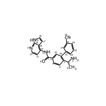 CC(N)c1ccc(C(=O)Nc2ccnc3[nH]ccc23)cc1-c1cccc(C#N)c1